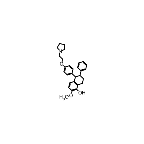 COc1ccc2c(c1O)CCC(c1ccccc1)C2c1ccc(OCCN2CCCC2)cc1